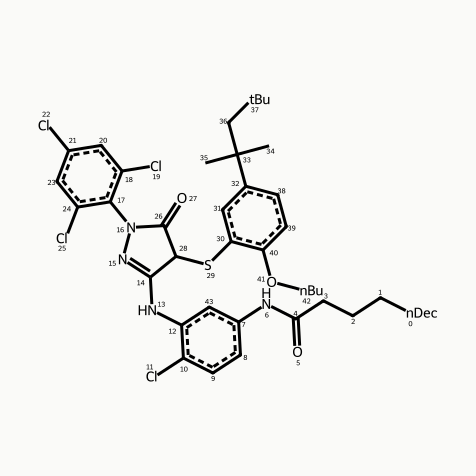 CCCCCCCCCCCCCC(=O)Nc1ccc(Cl)c(NC2=NN(c3c(Cl)cc(Cl)cc3Cl)C(=O)C2Sc2cc(C(C)(C)CC(C)(C)C)ccc2OCCCC)c1